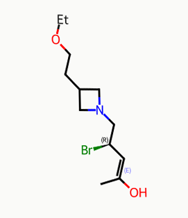 CCOCCC1CN(C[C@H](Br)/C=C(\C)O)C1